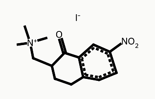 C[N+](C)(C)CC1CCc2ccc([N+](=O)[O-])cc2C1=O.[I-]